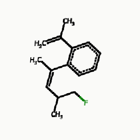 C=C(C)c1ccccc1/C(C)=C\C(C)CF